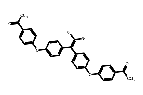 O=C(c1ccc(Oc2ccc(C(=C(Br)Br)c3ccc(Oc4ccc(C(=O)C(Cl)(Cl)Cl)cc4)cc3)cc2)cc1)C(Cl)(Cl)Cl